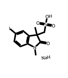 CN1C(=O)C(C)(CS(=O)(=O)O)c2cc(I)ccc21.[NaH]